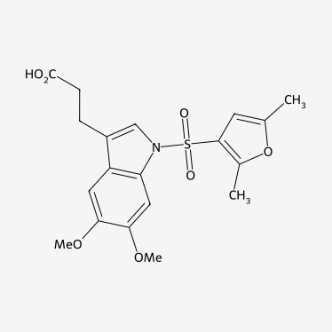 COc1cc2c(CCC(=O)O)cn(S(=O)(=O)c3cc(C)oc3C)c2cc1OC